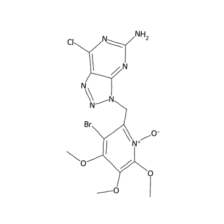 COc1c(Br)c(Cn2nnc3c(Cl)nc(N)nc32)[n+]([O-])c(OC)c1OC